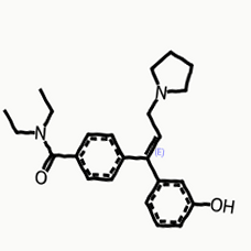 CCN(CC)C(=O)c1ccc(/C(=C\CN2CCCC2)c2cccc(O)c2)cc1